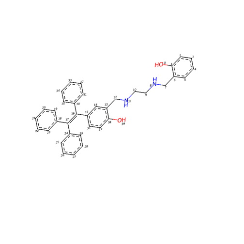 Oc1ccccc1CNCCNCc1cc(C(=C(c2ccccc2)c2ccccc2)c2ccccc2)ccc1O